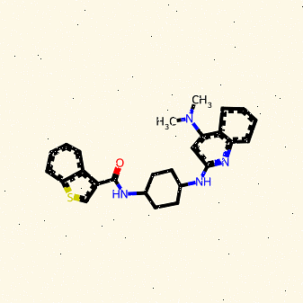 CN(C)c1cc(NC2CCC(NC(=O)c3csc4ccccc34)CC2)nc2ccccc12